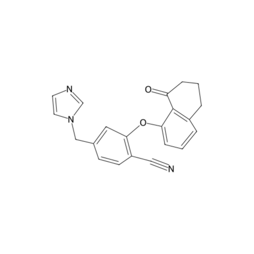 N#Cc1ccc(Cn2ccnc2)cc1Oc1cccc2c1C(=O)CCC2